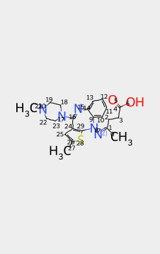 C/C(CCC(=O)O)=N/N1c2ccccc2N=C(N2CCN(C)CC2)c2cc(C)sc21